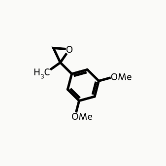 COc1cc(OC)cc(C2(C)CO2)c1